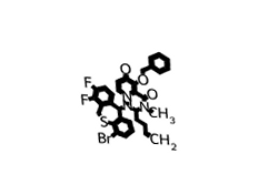 C=CCCC1N(C)C(=O)c2c(OCc3ccccc3)c(=O)ccn2N1C1c2ccc(F)c(F)c2CSc2c(Br)cccc21